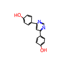 Oc1ccc(-c2cc(-c3ccc(O)cc3)ncn2)cc1